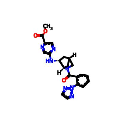 COC(=O)c1cnc(N[C@@H]2C[C@H]3C[C@H]2N(C(=O)c2ccccc2-n2nccn2)C3)cn1